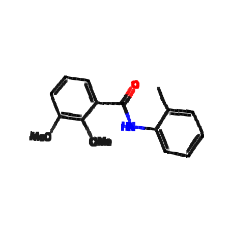 COc1cccc(C(=O)Nc2ccccc2C)c1OC